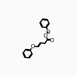 O=C(CC=COc1ccccc1)OOc1ccccc1